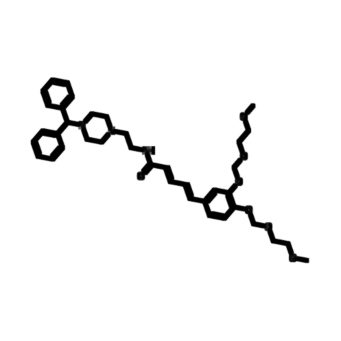 COCCOCOc1ccc(C=CC=CC(=O)NCCN2CCN(C(c3ccccc3)c3ccccc3)CC2)cc1OCOCCOC